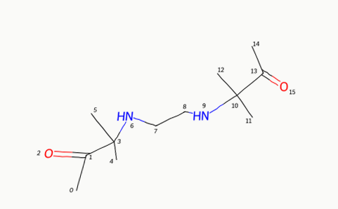 CC(=O)C(C)(C)NCCNC(C)(C)C(C)=O